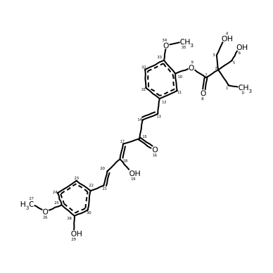 CCC(CO)(CO)C(=O)Oc1cc(/C=C/C(=O)/C=C(O)/C=C/c2ccc(OC)c(O)c2)ccc1OC